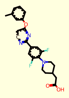 Cc1cccc(Oc2ccnc(-c3cc(F)c(N4CCC(CC(=O)O)CC4)c(F)c3)n2)c1